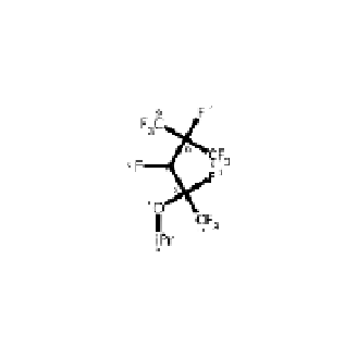 CC(C)OC(F)(C(F)C(F)(C(F)(F)F)C(F)(F)F)C(F)(F)F